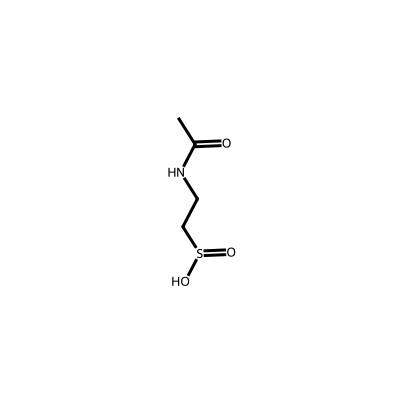 CC(=O)NCCS(=O)O